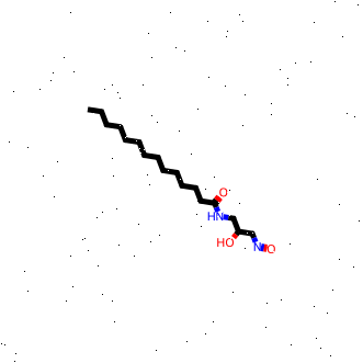 CCCCCCCCCCCCCC(=O)NCC(O)CN=O